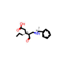 CCC[C@H](CC(=O)O)C(C=O)CN[C@H](C)c1ccccc1